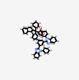 c1ccc(-n2c(-c3cc(-c4ccc5c(c4)C4(c6ccccc6Oc6ccccc64)c4ccc6ccccc6c4-5)cc(-c4nc5ccccc5n4-c4ccccc4)c3)nc3ccccc32)cc1